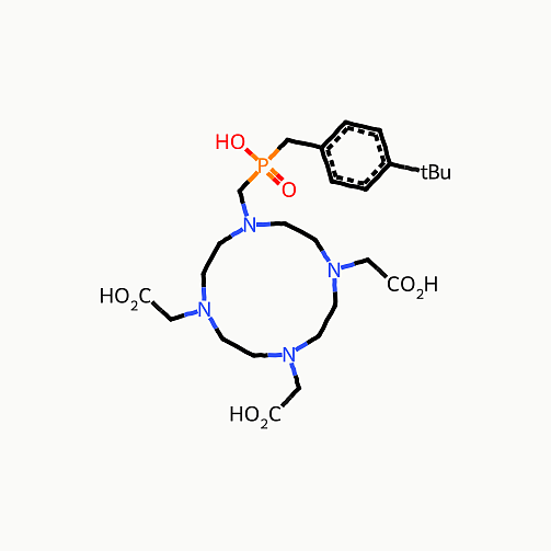 CC(C)(C)c1ccc(CP(=O)(O)CN2CCN(CC(=O)O)CCN(CC(=O)O)CCN(CC(=O)O)CC2)cc1